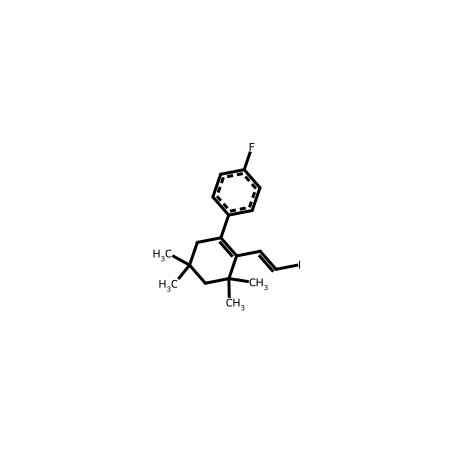 CC1(C)CC(c2ccc(F)cc2)=C(C=CI)C(C)(C)C1